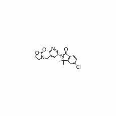 CC1(C)c2cc(Cl)ccc2C(=O)N1c1cncc(CN2CCOC2=O)c1